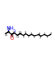 CCCCCCCCCCCCCC(=O)C(C)N